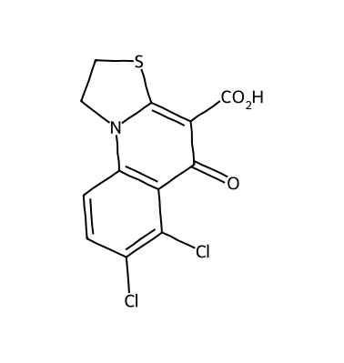 O=C(O)c1c2n(c3ccc(Cl)c(Cl)c3c1=O)CCS2